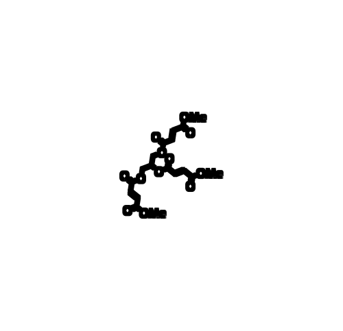 COC(=O)C=CC(=O)OCC(COC(=O)C=CC(=O)OC)OC(=O)C=CC(=O)OC